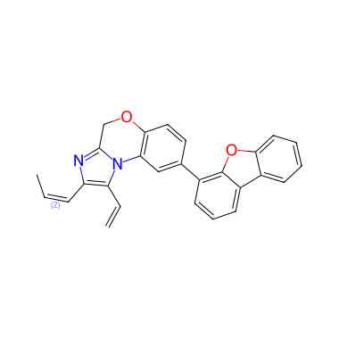 C=Cc1c(/C=C\C)nc2n1-c1cc(-c3cccc4c3oc3ccccc34)ccc1OC2